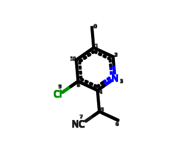 Cc1cnc(C(C)C#N)c(Cl)c1